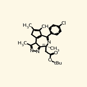 CC1=NN=C2C1C1=C(C(c3ccc(Cl)cc3)=N[C@@]2(C)CC(=O)OC(C)(C)C)C(C)=C(C)C1